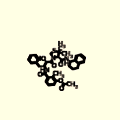 CC(=O)Oc1cccc(C(=O)N[C@@H](Cc2ccccc2)[C@H](O)C(=O)N2CSC(C)(C)[C@H]2C(=O)N[C@H]2CCCc3ccccc32)c1C